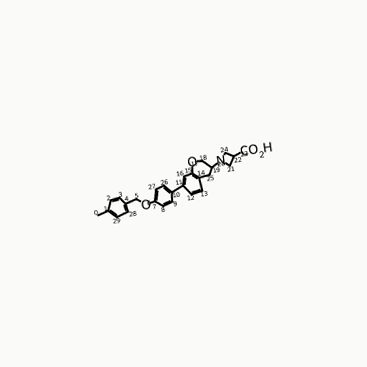 Cc1ccc(COc2ccc(-c3ccc4c(c3)OCC(N3CC(C(=O)O)C3)C4)cc2)cc1